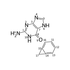 Nc1nc2nc[nH]c2c(=O)[nH]1.c1ccc2c(c1)C2